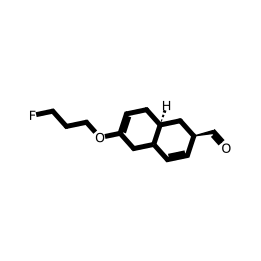 O=C[C@H]1C=CC2CC(OCCCF)=CC[C@H]2C1